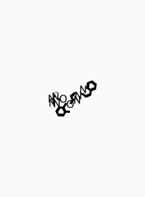 Cc1cccc(-n2nnn(C)c2=O)c1COc1ccn(-c2ccc3ccccc3n2)n1